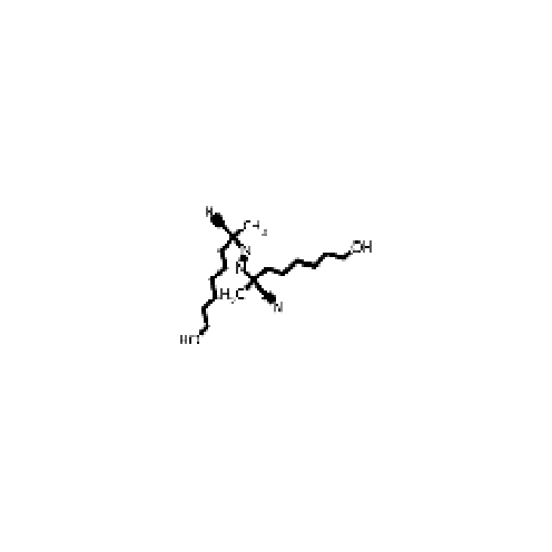 CC(C#N)(CCCCCCO)N=NC(C)(C#N)CCCCCCO